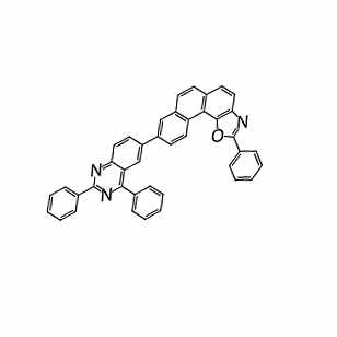 c1ccc(-c2nc(-c3ccccc3)c3cc(-c4ccc5c(ccc6ccc7nc(-c8ccccc8)oc7c65)c4)ccc3n2)cc1